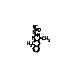 CC1=NC(=N[N+](=O)[O-])N=C(C)C1Cc1ccccc1